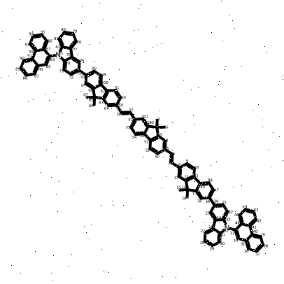 CC1(C)c2cc(/C=C/c3ccc4c(c3)C(C)(C)c3cc(-c5ccc6c(c5)c5ccccc5n6-c5cc6ccccc6c6ccccc56)ccc3-4)ccc2-c2ccc(/C=C/c3ccc4c(c3)C(C)(C)c3cc(-c5ccc6c(c5)c5ccccc5n6-c5cc6ccccc6c6ccccc56)ccc3-4)cc21